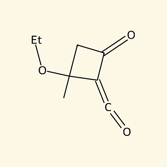 CCOC1(C)CC(=O)C1=C=O